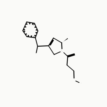 CCC(C1=C[C@@H](C(=O)O)N(C(=O)CCSC(C)=O)C1)c1ccccc1